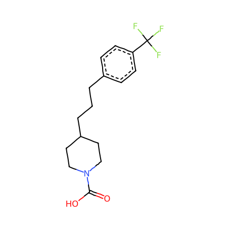 O=C(O)N1CCC(CCCc2ccc(C(F)(F)F)cc2)CC1